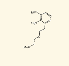 CNc1cncc(CCOCCOC)c1N